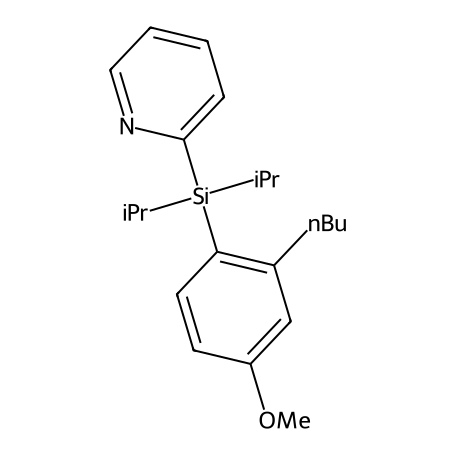 CCCCc1cc(OC)ccc1[Si](c1ccccn1)(C(C)C)C(C)C